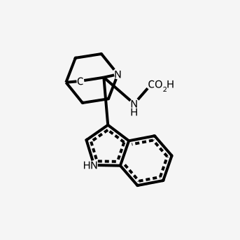 O=C(O)NC1(c2c[nH]c3ccccc23)CC2CCN1CC2